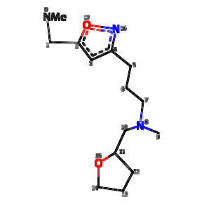 CNCc1cc(CCCN(C)CC2CCCO2)no1